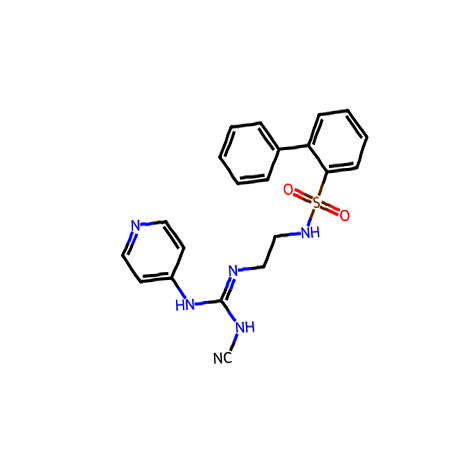 N#CN/C(=N\CCNS(=O)(=O)c1ccccc1-c1ccccc1)Nc1ccncc1